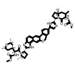 COC(=O)N[C@@H]1C(=O)N2[C@H](CC[C@H]2c2ncc(-c3ccc4c(c3)COc3cc5c(ccc6nc([C@@H]7CC[C@H](C)N7C(=O)[C@H](NC(=O)OC)[C@H]7C[C@@H](C)O[C@@H](C)C7)[nH]c65)cc3-4)[nH]2)CC1C